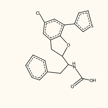 O=C(O)NC(Cc1ccccc1)C1Cc2cc(Cl)cc(-c3ccsc3)c2O1